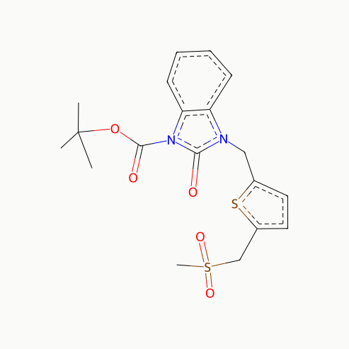 CC(C)(C)OC(=O)n1c(=O)n(Cc2ccc(CS(C)(=O)=O)s2)c2ccccc21